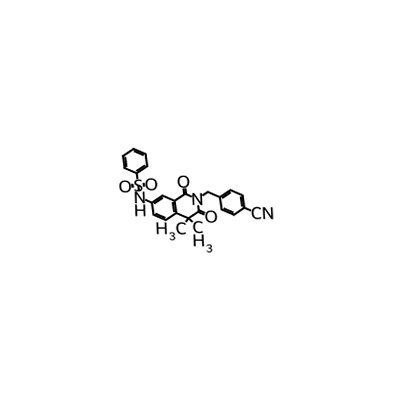 CC1(C)C(=O)N(Cc2ccc(C#N)cc2)C(=O)c2cc(NS(=O)(=O)c3ccccc3)ccc21